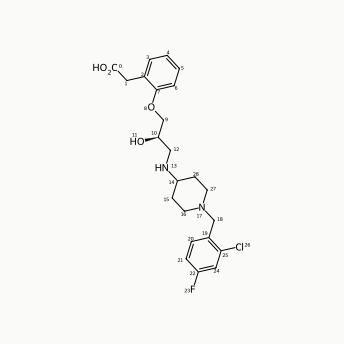 O=C(O)Cc1ccccc1OC[C@H](O)CNC1CCN(Cc2ccc(F)cc2Cl)CC1